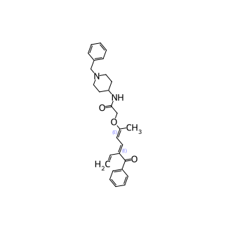 C=C/C(=C\C=C(/C)OCC(=O)NC1CCN(Cc2ccccc2)CC1)C(=O)c1ccccc1